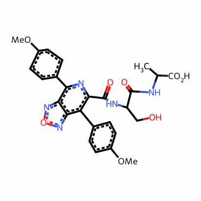 COc1ccc(-c2nc(C(=O)NC(CO)C(=O)NC(C)C(=O)O)c(-c3ccc(OC)cc3)c3nonc23)cc1